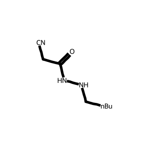 CCCCCNNC(=O)CC#N